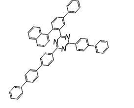 c1ccc(-c2ccc(-c3ccc(-c4nc(-c5ccc(-c6ccccc6)cc5)nc(-c5cc(-c6ccccc6)ccc5-c5cccc6ccccc56)n4)cc3)cc2)cc1